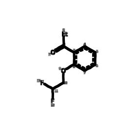 CCC(=O)c1ccccc1OCC(F)F